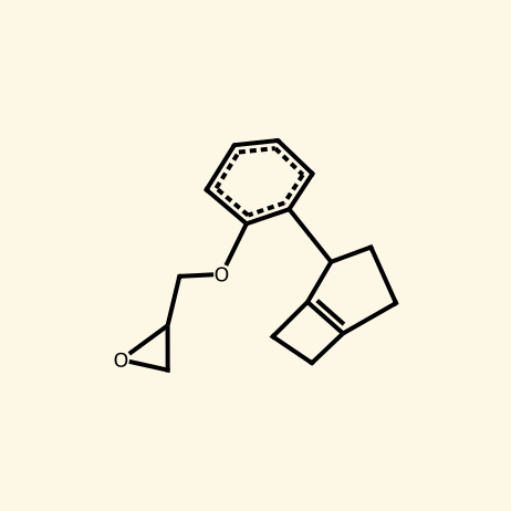 c1ccc(C2CCC3=C2CC3)c(OCC2CO2)c1